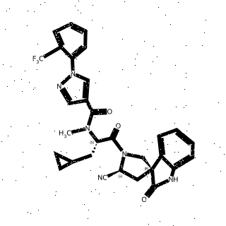 CN(C(=O)c1cnn(-c2ccccc2C(F)(F)F)c1)[C@@H](CC1CC1)C(=O)N1C[C@]2(C[C@H]1C#N)C(=O)Nc1ccccc12